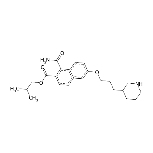 CC(C)COC(=O)c1ccc2cc(OCCCC3CCCNC3)ccc2c1C(N)=O